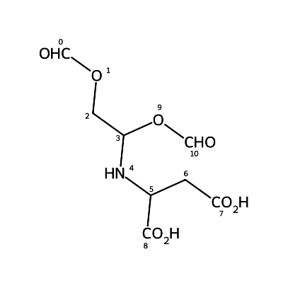 O=COCC(NC(CC(=O)O)C(=O)O)OC=O